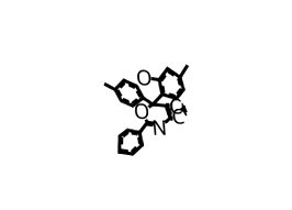 Cc1ccc2c(c1)Oc1cc(C)ccc1C21OC(c2ccccc2)=Nc2ccccc21